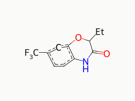 CCC1Oc2cc(C(F)(F)F)ccc2NC1=O